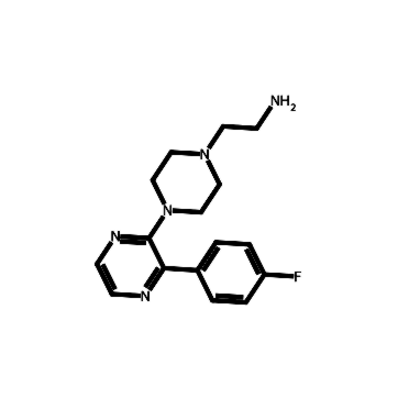 NCCN1CCN(c2nccnc2-c2ccc(F)cc2)CC1